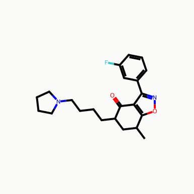 CC1CC(CCCCN2CCCC2)C(=O)c2c(-c3cccc(F)c3)noc21